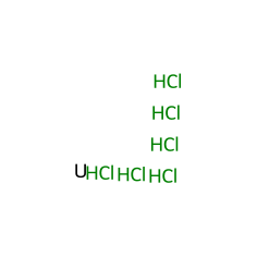 Cl.Cl.Cl.Cl.Cl.Cl.[U]